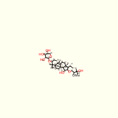 CO[C@@H]([C@H]1C[C@@H](C)C2C(O1)[C@H](O)[C@@]1(C)[C@@H]3CC[C@H]4C(C)(C)[C@@H](O[C@@H]5OC[C@@H](O)[C@H](O)[C@H]5O)CC[C@@]45C[C@@]35CC[C@]21C)C(C)(C)O